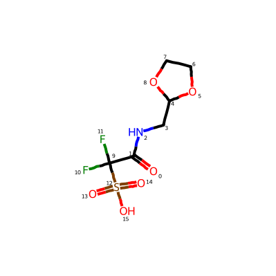 O=C(NCC1OCCO1)C(F)(F)S(=O)(=O)O